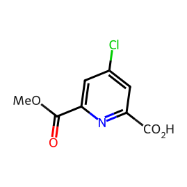 COC(=O)c1cc(Cl)cc(C(=O)O)n1